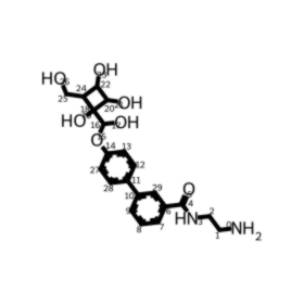 NCCNC(=O)c1cccc(-c2ccc(OC(O)C3(O)C(O)C(O)C3CO)cc2)c1